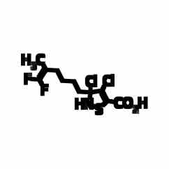 CC(CCCCC1(Cl)NSC(C(=O)O)=C1Cl)=C(F)F